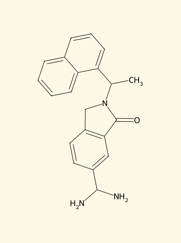 CC(c1cccc2ccccc12)N1Cc2ccc(C(N)N)cc2C1=O